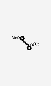 CCOCOc1ccccc1CCCCc1cccc(OC)c1